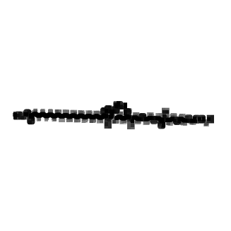 CC(C)(C)OC(=O)CCCCCCCCCCCCCCCCCCC(=O)N[C@@H](CCCC(=O)NCCOCCOCC(=O)NCCOCCOCC(=O)O)C(=O)OC(C)(C)C